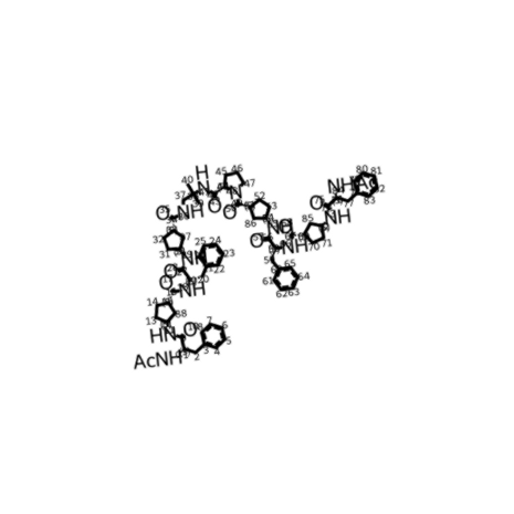 CC(=O)N[C@@H](Cc1ccccc1)C(=O)N[C@H]1CC[C@H](C(=O)N[C@@H](Cc2ccccc2)C(=O)N[C@H]2CC[C@H](C(=O)NCC(C)(C)NC(=O)[C@H]3CCCN3C(=O)[C@H]3CC[C@H](NC(=O)[C@H](Cc4ccccc4)NC(=O)[C@H]4CC[C@H](NC(=O)[C@H](Cc5ccccc5)NC(C)=O)C4)C3)C2)C1